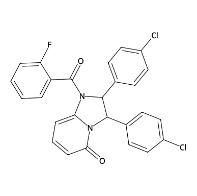 O=C(c1ccccc1F)N1c2cccc(=O)n2C(c2ccc(Cl)cc2)C1c1ccc(Cl)cc1